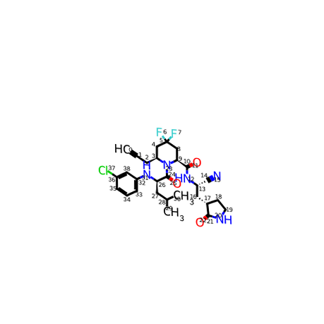 C#CC[C@H]1CC(F)(F)C[C@@H](C(=O)N[C@H](C#N)C[C@@H]2CCNC2=O)N1C(=O)[C@@H](CC(C)C)Nc1cccc(Cl)c1